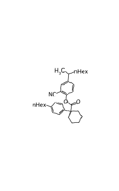 CCCCCCc1ccc(C2(C(=O)Oc3ccc(C(C)CCCCCC)cc3C#N)CCCCC2)cc1